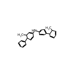 CC1C=C(Nc2ccc(C3C=CC=CC3C)cc2)C=CC1c1ccccc1